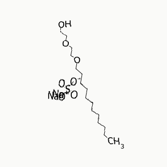 CCCCCCCCCCCCOCCOCCO.O=S(=O)([O-])[O-].[Na+].[Na+]